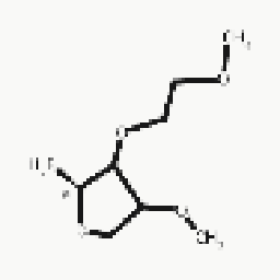 B[C@@H]1OCC(OC)C1OCCOC